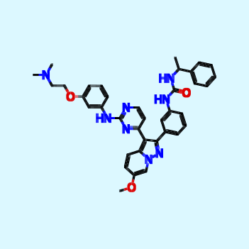 COc1ccc2c(-c3ccnc(Nc4cccc(OCCN(C)C)c4)n3)c(-c3cccc(NC(=O)NC(C)c4ccccc4)c3)nn2c1